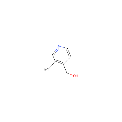 CCCc1cnccc1CO